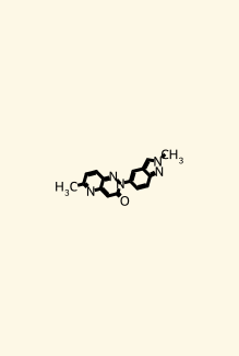 Cc1ccc2nn(-c3ccc4nn(C)cc4c3)c(=O)cc2n1